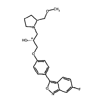 COCC1CCCN1C[C@@H](O)COc1ccc(-c2onc3cc(F)ccc23)cc1